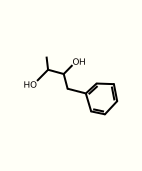 CC(O)C(O)Cc1ccccc1